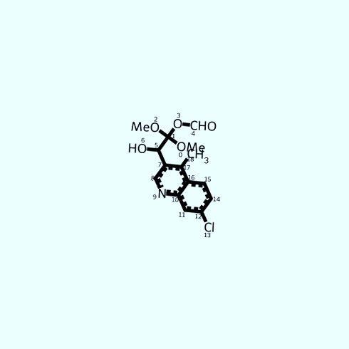 COC(OC)(OC=O)C(O)c1cnc2cc(Cl)ccc2c1C